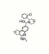 Nc1nc2ccc(C(O)N3CCOCC3c3ccccc3Cl)cc2c2c1COC2